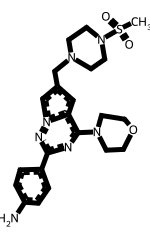 CS(=O)(=O)N1CCN(Cc2cc3c(N4CCOCC4)nc(-c4ccc(N)cc4)nn3c2)CC1